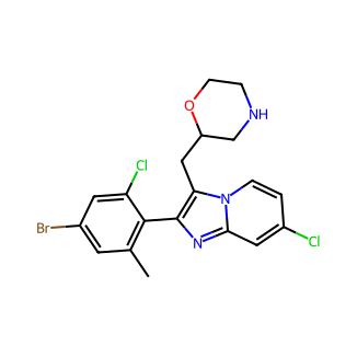 Cc1cc(Br)cc(Cl)c1-c1nc2cc(Cl)ccn2c1CC1CNCCO1